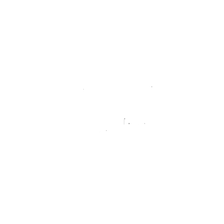 CCC/C(=N\OCC)C1=C(O)CC2(CCSCC2)OC1=O